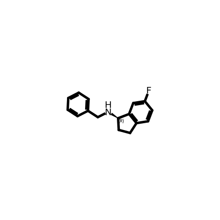 Fc1ccc2c(c1)[C@H](NCc1ccccc1)CC2